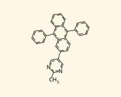 Cc1ncc(-c2ccc3c(-c4ccccc4)c4ccccc4c(-c4ccccc4)c3c2)cn1